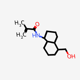 C=C(C)C(=O)NC1CCCC2C(CO)CCCC12